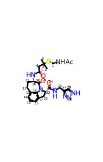 CC(=O)NCSC(C)(C)CC(=O)N[C@H]1CCc2cccc3c2N(C1=O)[C@H](C(=O)NCc1c[nH]nn1)C3